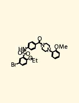 CCOc1ccc(Br)cc1S(=O)(=O)Nc1ccc(C(=O)N2CCN(c3ccccc3OC)CC2)cc1